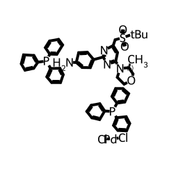 C[C@H]1COCCN1c1cc(CS(=O)(=O)C(C)(C)C)nc(-c2ccc(N)cc2)n1.[Cl][Pd][Cl].c1ccc(P(c2ccccc2)c2ccccc2)cc1.c1ccc(P(c2ccccc2)c2ccccc2)cc1